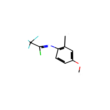 COc1ccc(N=C(Cl)C(F)(F)F)c(C)c1